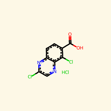 Cl.O=C(O)c1ccc2nc(Cl)cnc2c1Cl